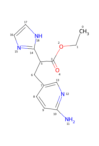 CCOC(=O)C(Cc1ccc(N)nc1)c1ncc[nH]1